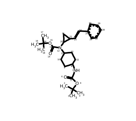 CC(C)(C)OC(=O)NC1CCC(N(C(=O)OC(C)(C)C)C2CC2/C=C/c2ccccc2)CC1